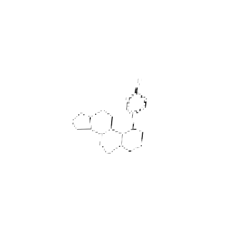 O=c1ccc(C2CCCC3CCC4C5CCCC5CCC4C32)co1